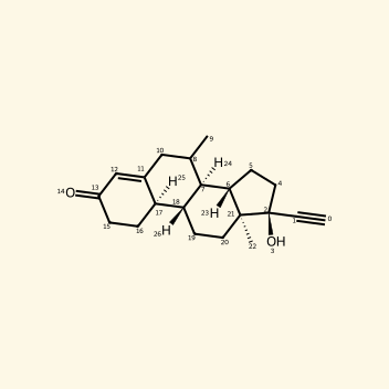 C#C[C@@]1(O)CC[C@H]2[C@@H]3C(C)CC4=CC(=O)CC[C@@H]4[C@H]3CC[C@@]21C